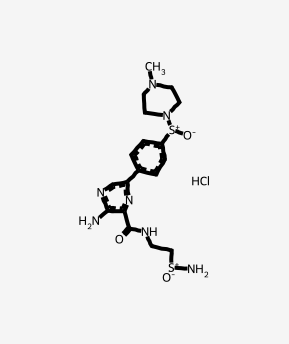 CN1CCN([S+]([O-])c2ccc(-c3cnc(N)c(C(=O)NCC[S+](N)[O-])n3)cc2)CC1.Cl